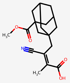 COC(=O)C12CC3CC(CC(CC(C#N)=C(C)C(=O)O)(C3)C1)C2